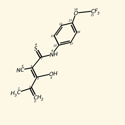 C=C(C)C(O)=C(C#N)C(=S)Nc1ccc(OC(F)(F)F)cc1